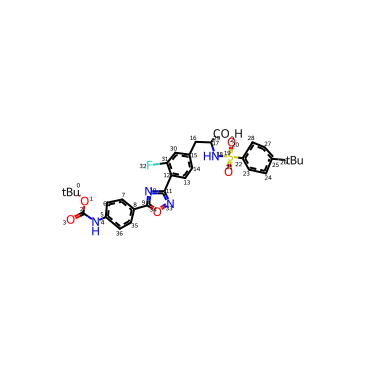 CC(C)(C)OC(=O)Nc1ccc(-c2nc(-c3ccc(CC(NS(=O)(=O)c4ccc(C(C)(C)C)cc4)C(=O)O)cc3F)no2)cc1